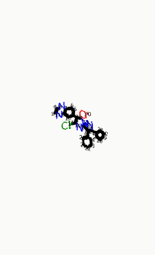 COc1c(-c2ccc3nccnc3c2)c(Cl)nc2c(C3=CCCCC3)c(-c3ccccc3)nn12